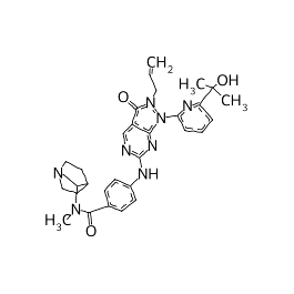 C=CCn1c(=O)c2cnc(Nc3ccc(C(=O)N(C)C4CN5CCC4CC5)cc3)nc2n1-c1cccc(C(C)(C)O)n1